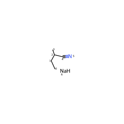 CCC(C)C#N.[NaH]